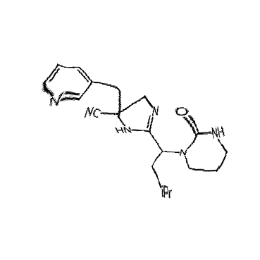 CC(C)CC(C1=NCC(C#N)(Cc2cccnc2)N1)N1CCCNC1=O